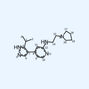 CC(C)c1[nH]ncc1-c1ccnc(NCCN2CCCC2)c1